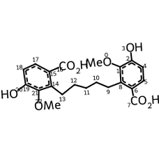 COc1c(O)ccc(C(=O)O)c1CCCCCc1c(C(=O)O)ccc(O)c1OC